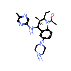 CCC1[C@H](C)C(Nc2cnc(C)cn2)c2cc(N3CCNCC3)ccc2N1C(C)=O